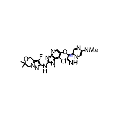 CNC1=CN/C(=C(\C=N)Oc2cnc3nc(Nc4nn5c(c4F)COC(C)(C)C5)n(C)c3c2Cl)C=N1